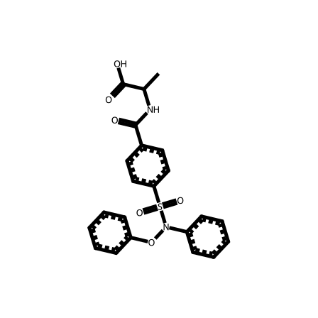 CC(NC(=O)c1ccc(S(=O)(=O)N(Oc2ccccc2)c2ccccc2)cc1)C(=O)O